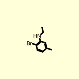 CCNc1cc(C)ccc1Br